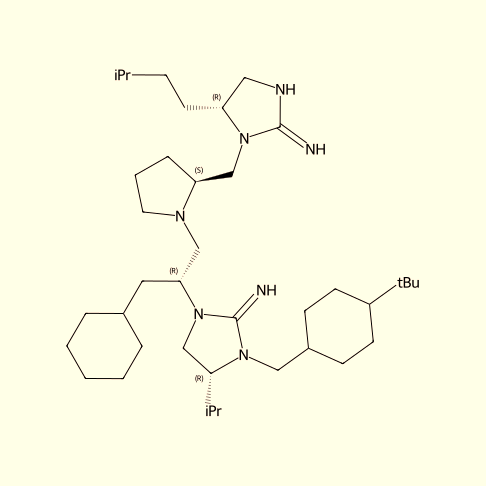 CC(C)CC[C@@H]1CNC(=N)N1C[C@@H]1CCCN1C[C@@H](CC1CCCCC1)N1C[C@@H](C(C)C)N(CC2CCC(C(C)(C)C)CC2)C1=N